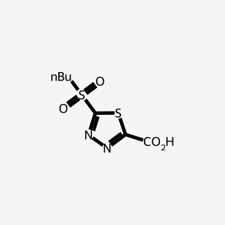 CCCCS(=O)(=O)c1nnc(C(=O)O)s1